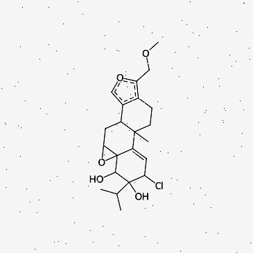 COCc1occ2c1CCC1(C)C3=CC(Cl)C(O)(C(C)C)C(O)C34OC4CC21